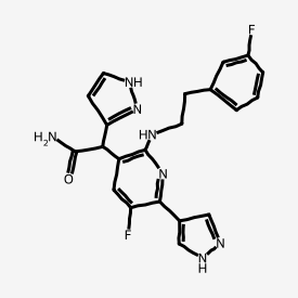 NC(=O)C(c1cc[nH]n1)c1cc(F)c(-c2cn[nH]c2)nc1NCCc1cccc(F)c1